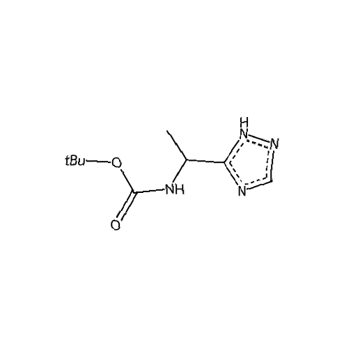 CC(NC(=O)OC(C)(C)C)c1ncn[nH]1